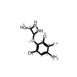 Nc1cc(Cl)c(OC2NN[C@@H]2O)c(Cl)c1F